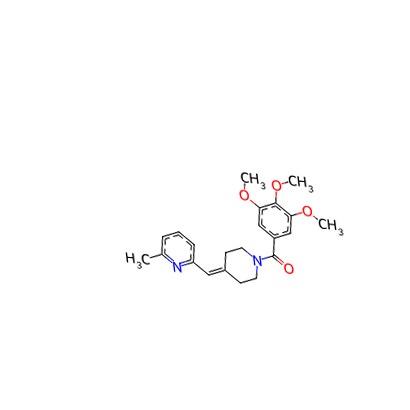 COc1cc(C(=O)N2CCC(=Cc3cccc(C)n3)CC2)cc(OC)c1OC